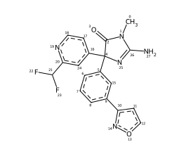 CN1C(=O)C(c2cccc(-c3ccon3)c2)(c2ccnc(C(F)F)c2)N=C1N